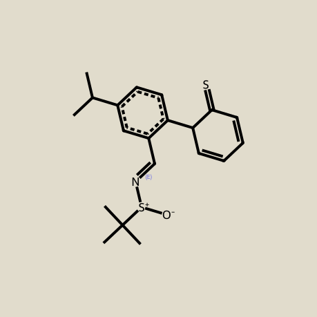 CC(C)c1ccc(C2C=CC=CC2=S)c(/C=N/[S+]([O-])C(C)(C)C)c1